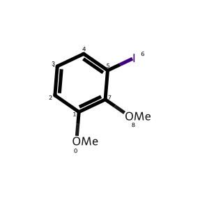 COc1c[c]cc(I)c1OC